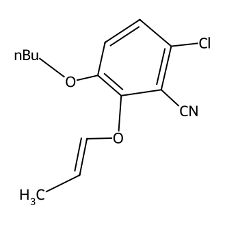 CC=COc1c(OCCCC)ccc(Cl)c1C#N